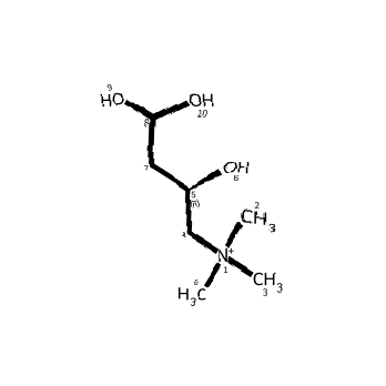 C[N+](C)(C)C[C@H](O)CC(O)O